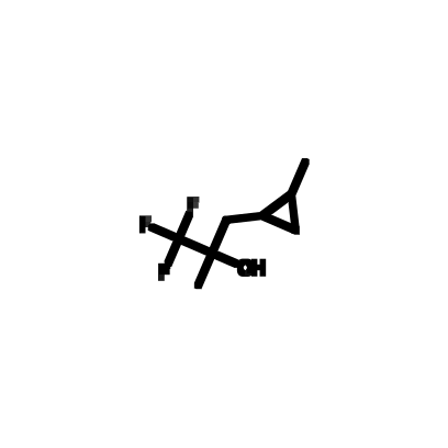 CC1CC1CC(C)(O)C(F)(F)F